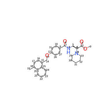 COC(=O)[C@H](CNC(=O)c1ccc(OCc2ccc(C)c3ccccc23)cc1)N1CCCCC1